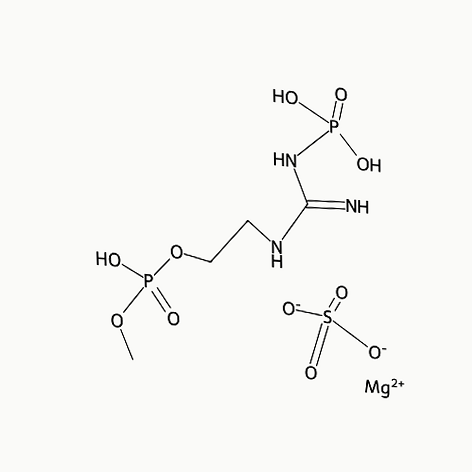 COP(=O)(O)OCCNC(=N)NP(=O)(O)O.O=S(=O)([O-])[O-].[Mg+2]